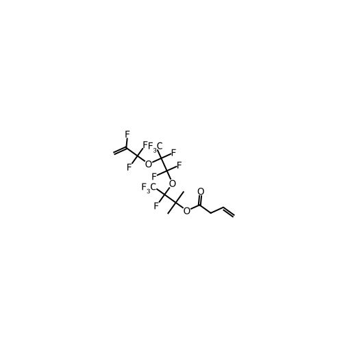 C=CCC(=O)OC(C)(C)C(F)(OC(F)(F)C(F)(OC(F)(F)C(=C)F)C(F)(F)F)C(F)(F)F